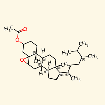 CC(=O)OC1CC[C@]2(C)[C@H]3CC[C@]4(C)[C@@H]([C@H](C)CC[C@@H](C)C(C)C)CC[C@H]4[C@@H]3CC3OC32C1